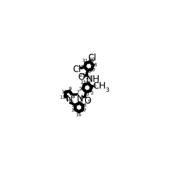 Cc1cc(C(=O)N2Cc3cccn3Cc3ccccc32)ccc1NC(=O)c1ccc(Cl)cc1Cl